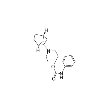 O=C1Nc2ccccc2C2(CCN([C@H]3C[C@H]4CC[C@@H]3C4)CC2)O1